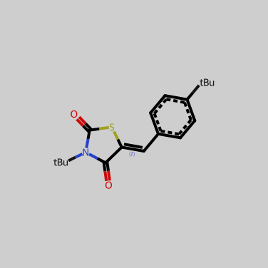 CC(C)(C)c1ccc(/C=C2\SC(=O)N(C(C)(C)C)C2=O)cc1